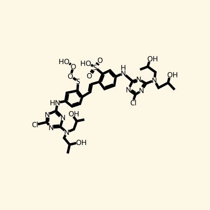 CC(O)CN(CC(C)O)c1nc(Cl)nc(Nc2ccc(/C=C/c3ccc(Nc4nc(Cl)nc(N(CC(C)O)CC(C)O)n4)cc3S(=O)(=O)O)c(SOOO)c2)n1